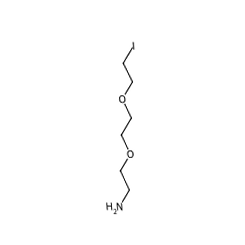 NCCOCCOCCI